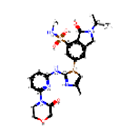 CC1=C[SH](c2cc3c(c(S(=O)(=O)NC(C)C)c2)C(=O)N([C@@H](C)C(F)(F)F)C3)C(Nc2cccc(N3CCOCC3=O)n2)=N1